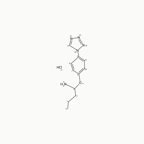 CCCC(N)Oc1ccc(-n2cnnn2)cc1.Cl